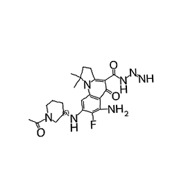 CC(=O)N1CCC[C@H](Nc2cc3c(c(N)c2F)c(=O)c(C(=O)NN=N)c2n3C(C)(C)CC2)C1